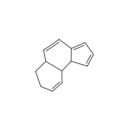 [C]1=CC2CCC=CC2C2C=CC=C12